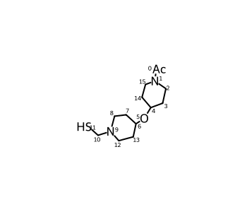 CC(=O)N1CCC(OC2CCN(CS)CC2)CC1